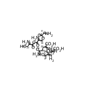 C[C@@H](O)[C@H](N)C(=O)O.C[C@H](N)C(=O)O[C@H](C)[C@H](N)C(=O)OC(=O)[C@@H](N)CO.NC(=O)CC[C@H](N)C(=O)O.NCC(=O)O